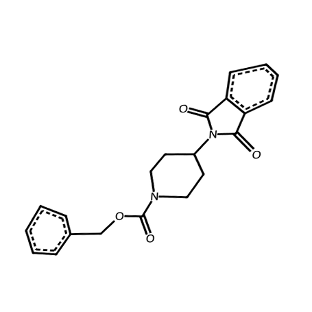 O=C(OCc1ccccc1)N1CCC(N2C(=O)c3ccccc3C2=O)CC1